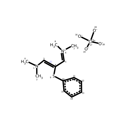 CN(C)/C=C(/C=[N+](C)C)Sc1ccccc1.[O-][Cl+3]([O-])([O-])[O-]